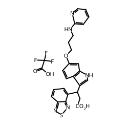 O=C(O)C(F)(F)F.O=C(O)CC(c1c[nH]c2cc(OCCCNc3ccccn3)ccc12)c1cccc2nsnc12